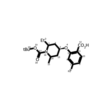 CCC1C[C@@H](Oc2cc(F)ccc2C(=O)O)CC(C)N1C(=O)OC(C)(C)C